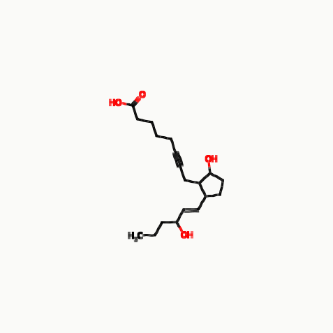 CCCC(O)C=CC1CCC(O)C1CC#CCCCCC(=O)O